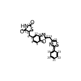 O=C1NC(=O)C(Cc2ccc3oc(Cc4csc(-c5ccccc5)n4)nc3c2)S1